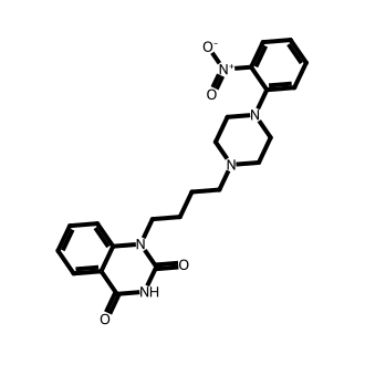 O=c1[nH]c(=O)n(CCCCN2CCN(c3ccccc3[N+](=O)[O-])CC2)c2ccccc12